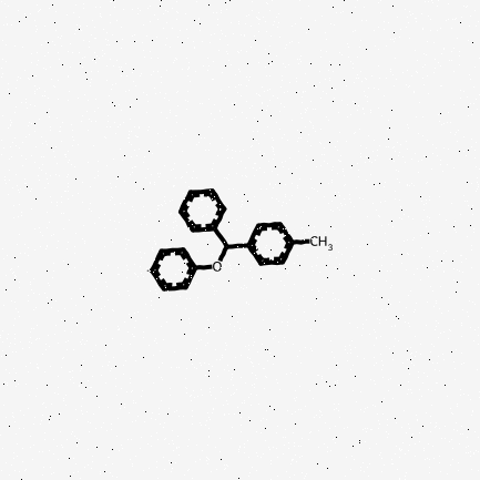 Cc1ccc(C(Oc2cc[c]cc2)c2ccccc2)cc1